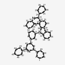 c1ccc(-c2cc(-c3cccc(-n4c5ccccc5c5ccc6c(-c7ccccc7)nc7ccccc7c6c54)c3)cc(-c3ccccc3)n2)cc1